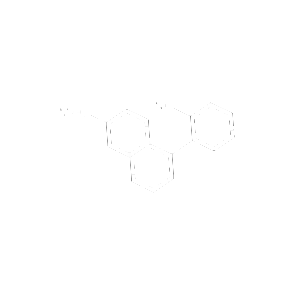 COc1ccc2c(-c3ccccc3C#N)cccc2c1